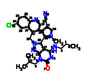 CCCNc1nc(=O)n(CC(C)C)c2nn(Cc3ccnc4ccc(Cl)cc34)c(-c3cc(C#N)cn3C)c12